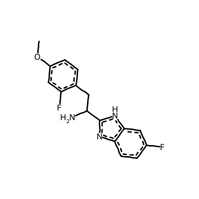 COc1ccc(CC(N)c2nc3ccc(F)cc3[nH]2)c(F)c1